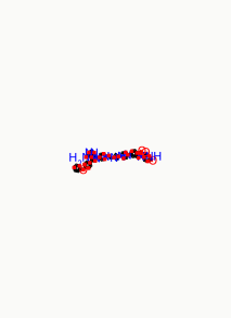 Nc1ncnc2c1c(-c1ccc(Oc3ccccc3)cc1)cn2C1CCN(CCN2CC(N3CCN(c4ccc5c(c4)CN(C4CCC(=O)NC4=O)C5=O)CC3)C2)CC1